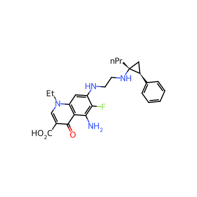 CCC[C@@]1(NCCNc2cc3c(c(N)c2F)c(=O)c(C(=O)O)cn3CC)C[C@H]1c1ccccc1